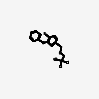 Fc1ccc(COCC(Cl)(Cl)Cl)cc1Oc1ccccc1